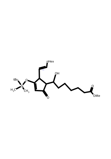 CCCCCC/C=C/C1C(O[Si](C)(C)C(C)(C)C)=CC(=O)C1C(O)CCCCCC(=O)OC